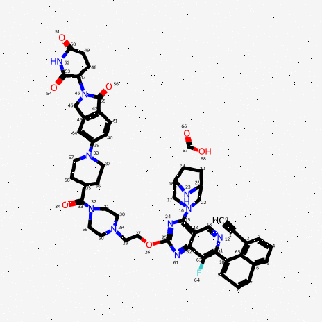 C#Cc1cccc2cccc(-c3ncc4c(N5CC6CCC(C5)N6)nc(OCCN5CCN(C(=O)C6CCN(c7ccc8c(c7)CN(C7CCC(=O)NC7=O)C8=O)CC6)CC5)nc4c3F)c12.O=CO